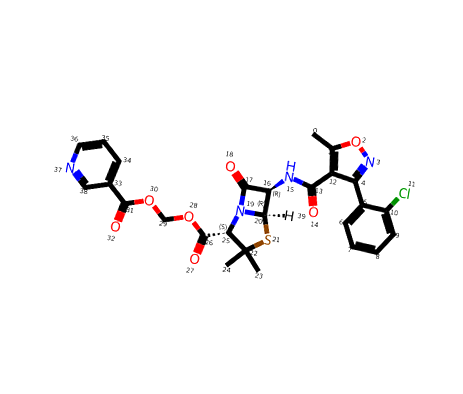 Cc1onc(-c2ccccc2Cl)c1C(=O)N[C@@H]1C(=O)N2[C@@H]1SC(C)(C)[C@@H]2C(=O)OCOC(=O)c1cccnc1